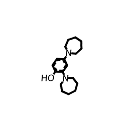 Oc1ccc(N2CCCCCC2)cc1N1CCCCCC1